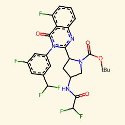 CC(C)(C)OC(=O)N1CC(NC(=O)C(F)F)CC1c1nc2cccc(F)c2c(=O)n1-c1cc(F)cc(C(F)F)c1